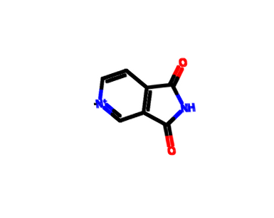 O=C1NC(=O)C2=C1C=C[N+]=C2